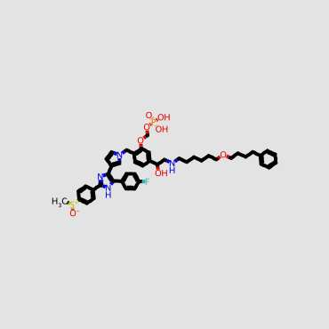 C[S+]([O-])c1ccc(-c2nc(-c3ccn(Cc4ccc(C(O)CNCCCCCCOCCCCc5ccccc5)cc4OCOP(=O)(O)O)c3)c(-c3ccc(F)cc3)[nH]2)cc1